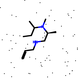 C=CCNC[C@H](C)N(C)C(C)CC